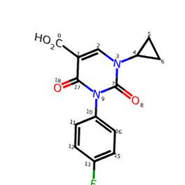 O=C(O)c1cn(C2CC2)c(=O)n(-c2ccc(F)cc2)c1=O